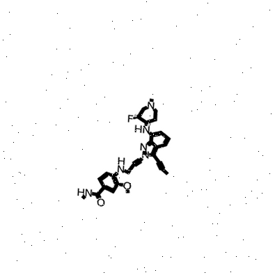 CC#Cc1c2cccc(N[C@@H]3CCN(C)C[C@@H]3F)c2nn1C#CCNc1ccc(C(=O)NC)cc1OC